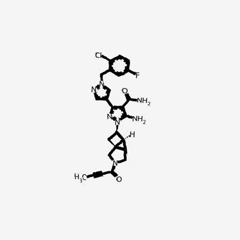 CC#CC(=O)N1CC2[C@@H]3[C@H](n4nc(-c5cnn(Cc6cc(F)ccc6Cl)c5)c(C(N)=O)c4N)C[C@]23C1